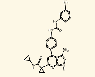 Cn1nc(N)c2c(-c3ccc(NC(=O)Nc4cccc(C(F)(F)F)c4)cc3)cc(C3(C(=O)NC4CC4)CC3)nc21